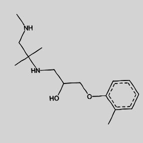 CNCC(C)(C)NCC(O)COc1ccccc1C